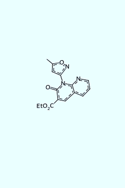 CCOC(=O)c1cc2cccnc2n(-c2cc(C)on2)c1=O